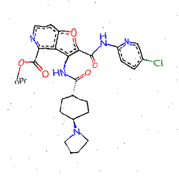 CCCOC(=O)c1nccc2oc(C(=O)Nc3ccc(Cl)cn3)c(NC(=O)[C@H]3CC[C@H](N4CCCC4)CC3)c12